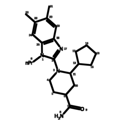 CCCn1c(N2CCC(C(N)=O)CC2C2CCCC2)nc2cc(C)c(C)cc21